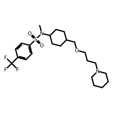 CN(C1CCC(COCCCN2CCCCC2)CC1)S(=O)(=O)c1ccc(C(F)(F)F)cc1